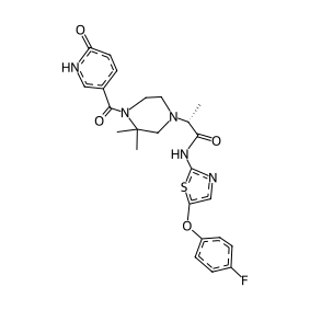 C[C@H](C(=O)Nc1ncc(Oc2ccc(F)cc2)s1)N1CCN(C(=O)c2ccc(=O)[nH]c2)C(C)(C)C1